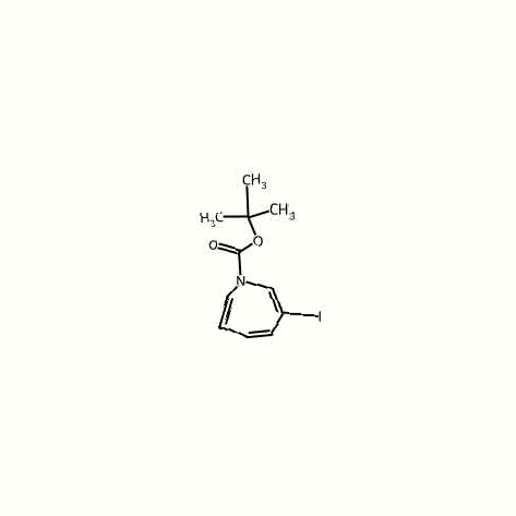 CC(C)(C)OC(=O)N1C=CC=CC(I)=C1